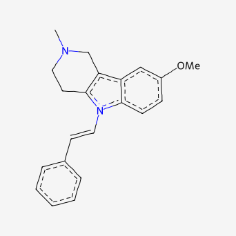 COc1ccc2c(c1)c1c(n2/C=C/c2ccccc2)CCN(C)C1